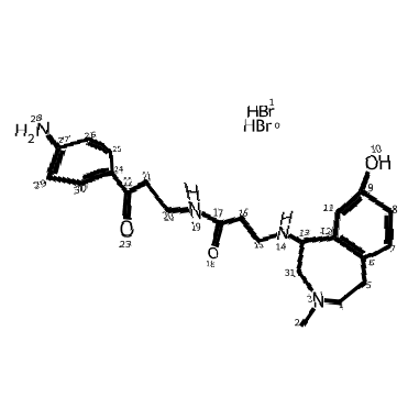 Br.Br.CN1CCc2ccc(O)cc2C(NCCC(=O)NCCC(=O)c2ccc(N)cc2)C1